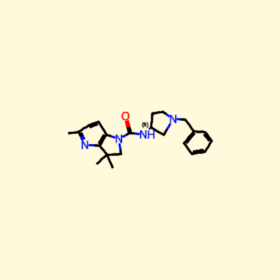 Cc1ccc2c(n1)C(C)(C)CN2C(=O)N[C@@H]1CCN(Cc2ccccc2)C1